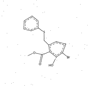 COC(=O)c1c(CSc2ccccc2)ccc(Br)c1O